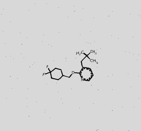 CC(C)(C)Cc1cccnc1OCC1CCC(F)(F)CC1